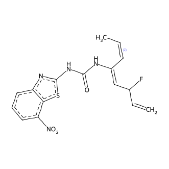 C=CC(F)C=C(/C=C\C)NC(=O)Nc1nc2cccc([N+](=O)[O-])c2s1